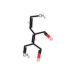 C=C/C(C=O)=C(C=O)\C=C/C